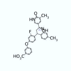 Cc1ccc(C(C/C(=N\O)c2c[nH]c(=O)c(C)c2)c2ccc(Oc3cccc(C(=O)O)c3)cc2F)cc1